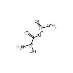 CC[C@H](N)C(=O)O[PH](C)=O